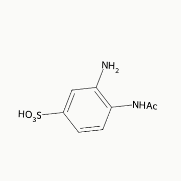 CC(=O)Nc1ccc(S(=O)(=O)O)cc1N